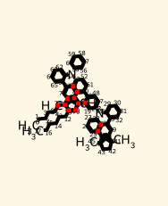 CCCCCCCCc1c(CCCCCCCC)c2cc(N(c3ccccc3)c3ccccc3-c3ccc4c(c3)C3(C)CCC4(C)C3)ccc2c2ccc(N(c3ccccc3)c3ccccc3-c3ccc4c(c3)C3(C)CCC4(C)C3)cc12